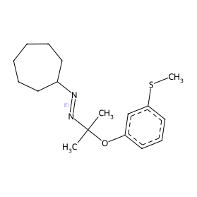 CSc1cccc(OC(C)(C)/N=N/C2CCCCCC2)c1